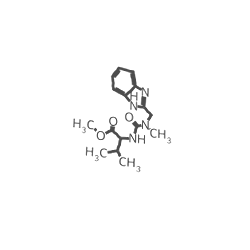 COC(=O)C(NC(=O)N(C)Cc1nc2ccccc2[nH]1)C(C)C